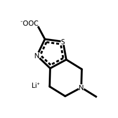 CN1CCc2nc(C(=O)[O-])sc2C1.[Li+]